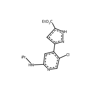 CCOC(=O)c1cc(-c2cc(NC(C)C)ncc2Cl)n[nH]1